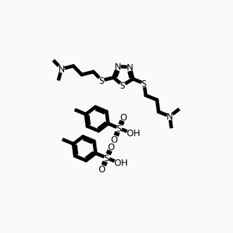 CN(C)CCCSc1nnc(SCCCN(C)C)s1.Cc1ccc(S(=O)(=O)O)cc1.Cc1ccc(S(=O)(=O)O)cc1